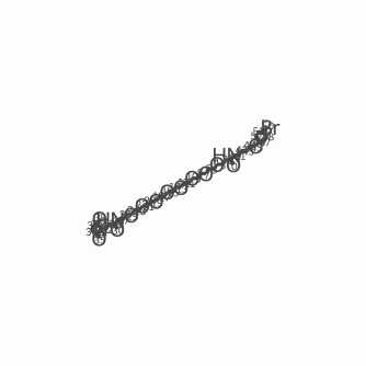 O=C(CCOCCOCCOCCOCCOCCOCCOCCOCCNC(=O)CCN1C(=O)C=CC1=O)NCCCCOc1ccc(Br)cc1